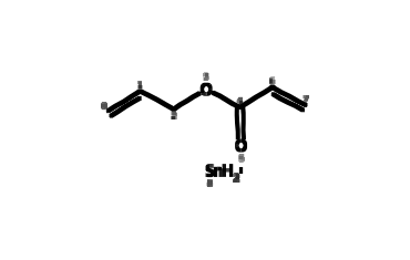 C=CCOC(=O)C=C.[SnH2]